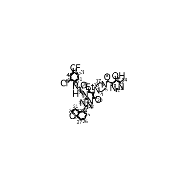 CCc1c(N2CCN(C(=O)c3ncnc(C)c3O)CC2)c(=O)n2nc(-c3cccc4occc34)nc2n1CC(=O)Nc1ccc(C(F)(F)F)cc1Cl